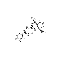 COC(=O)N1CCC[C@H](N)[C@@H]1COC1CCN(c2cccc(Cl)c2)CC1